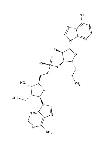 Nc1ncnc2c1ncn2[C@@H]1O[C@H](COP)[C@@H](O[P@](=O)(S)OC[C@H]2O[C@@H](n3cnc4c(N)ncnc43)[C@H](CC=O)[C@@H]2O)[C@H]1F